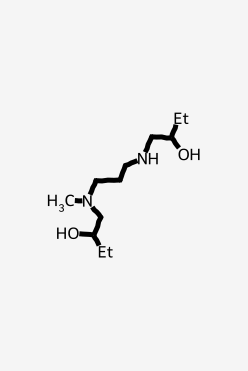 CCC(O)CNCCCN(C)CC(O)CC